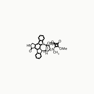 COc1c(N(C)[C@@H]2C[C@H]3O[C@@](C)([C@@H]2OC)n2c4ccccc4c4c5c(c6c(c42)C3c2ccccc2-6)C(=O)NC5)c(=O)c1=O